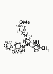 COc1ccc(CN2CCc3c(Nc4cccc(C)n4)nc(Nc4ccc(N5CCOCC5)cc4OC)nc32)cc1